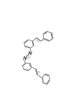 C(=C\c1cccc(/N=N/c2cccc(/C=C/c3ccccc3)c2)c1)/c1ccccc1